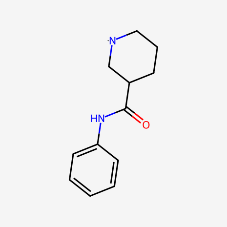 O=C(Nc1ccccc1)C1CCC[N]C1